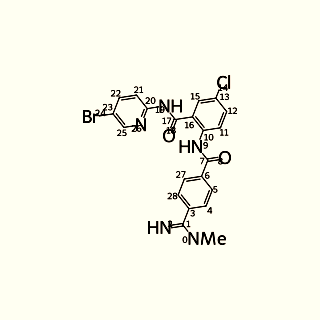 CNC(=N)c1ccc(C(=O)Nc2ccc(Cl)cc2C(=O)Nc2ccc(Br)cn2)cc1